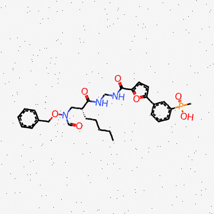 CCCCC[C@H](CN(C=O)OCc1ccccc1)C(=O)NCNC(=O)c1ccc(-c2cccc(P(C)(=O)O)c2)o1